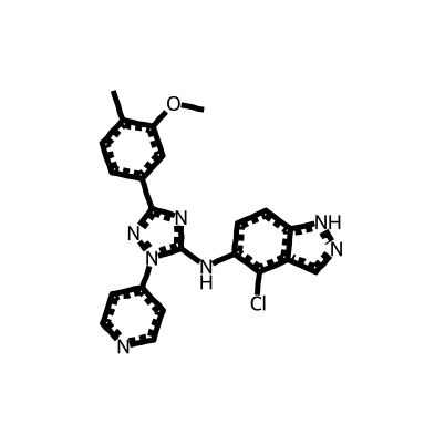 COc1cc(-c2nc(Nc3ccc4[nH]ncc4c3Cl)n(-c3ccncc3)n2)ccc1C